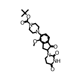 COc1c(N2CCN(C(=O)OC(C)(C)C)CC2)ccc2c1CC(N1CCC(=O)NC1=O)C2=O